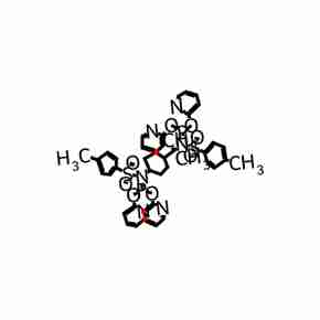 Cc1ccc(S(=O)(=O)N(C2CCC(C(C)(C)N(P(Oc3ccccn3)Oc3ccccn3)S(=O)(=O)c3ccc(C)cc3)CC2)P(Oc2ccccn2)Oc2ccccn2)cc1